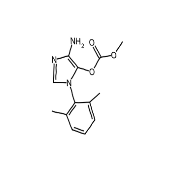 COC(=O)Oc1c(N)ncn1-c1c(C)cccc1C